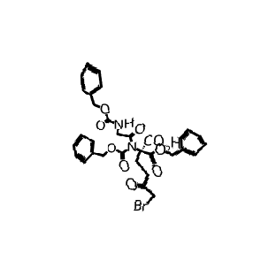 O=C(CBr)CC[C@](C(=O)O)(C(=O)OCc1ccccc1)N(C(=O)CNC(=O)OCc1ccccc1)C(=O)OCc1ccccc1